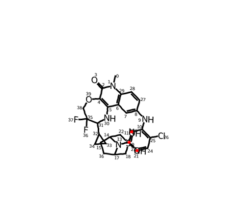 Cn1c(=O)c2c(c3cc(Nc4nc(N5C6CCC5CS(O)(O)C6)ncc4Cl)ccc31)NC(C1CC1)C(F)(F)CO2